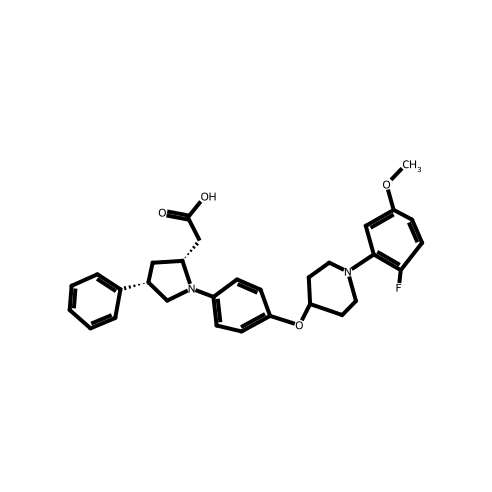 COc1ccc(F)c(N2CCC(Oc3ccc(N4C[C@H](c5ccccc5)C[C@@H]4CC(=O)O)cc3)CC2)c1